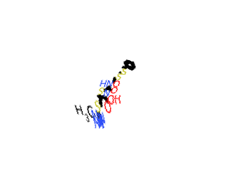 Cn1nnnc1SCC1=C(C(=O)O)N2C(=O)[C@H](NC(=O)CSCSCc3ccccc3)C2SC1